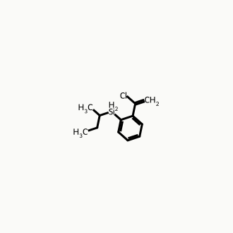 C=C(Cl)c1ccccc1[SiH2]C(C)CC